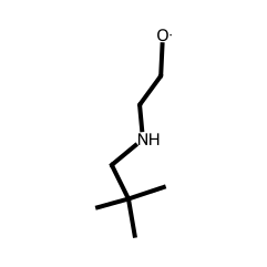 CC(C)(C)CNCC[O]